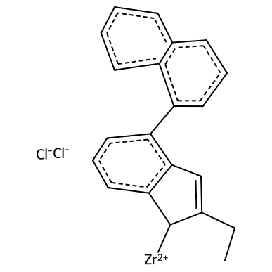 CCC1=Cc2c(-c3cccc4ccccc34)cccc2[CH]1[Zr+2].[Cl-].[Cl-]